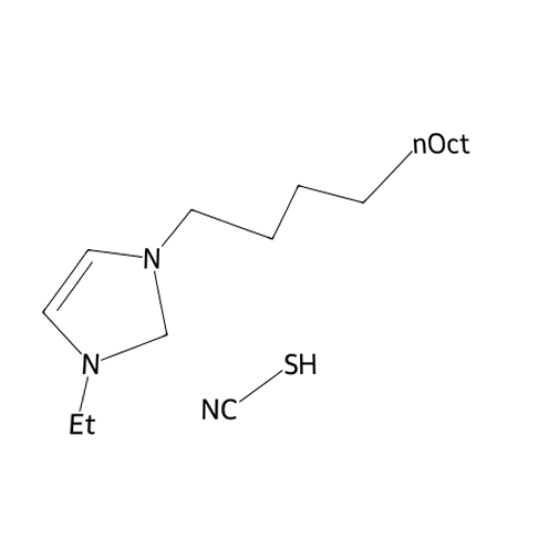 CCCCCCCCCCCCN1C=CN(CC)C1.N#CS